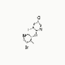 Cc1c(Br)cncc1Oc1ncc(Cl)cc1F